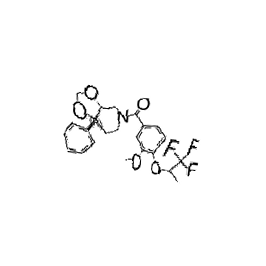 COc1cc(C(=O)N2CC[C@]3(c4ccccc4)OCOC3C2)ccc1OC(C)C(F)(F)F